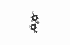 Fc1ccc(Nc2cncc(Br)c2)cc1